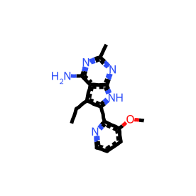 CCc1c(-c2ncccc2OC)[nH]c2nc(C)nc(N)c12